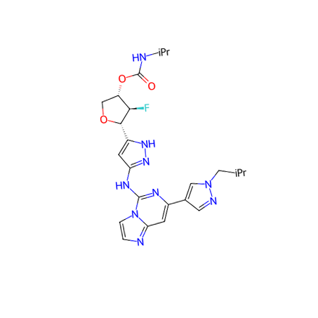 CC(C)Cn1cc(-c2cc3nccn3c(Nc3cc([C@@H]4OC[C@H](OC(=O)NC(C)C)[C@H]4F)[nH]n3)n2)cn1